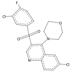 O=S(=O)(c1ccc(F)c(Cl)c1)c1cnc2ccc(Cl)cc2c1N1CCOCC1